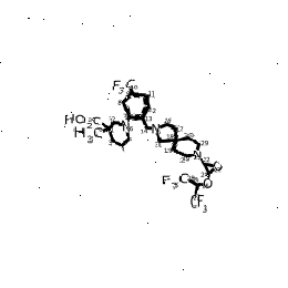 CC1(C(=O)O)CCCN(c2cc(C(F)(F)F)ccc2CN2CCC3(CCN([C@H]4OC4OC(C(F)(F)F)C(F)(F)F)CC3)C2)C1